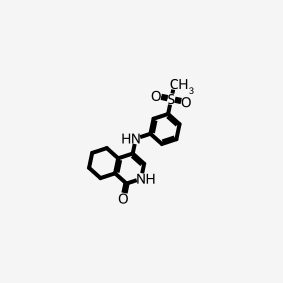 CS(=O)(=O)c1cccc(Nc2c[nH]c(=O)c3c2CCCC3)c1